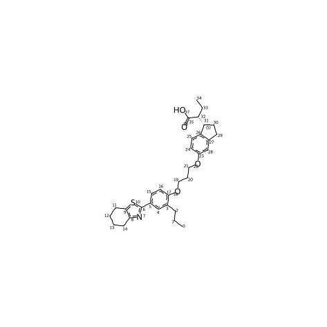 CCCc1cc(-c2nc3c(s2)CCCC3)ccc1OCCCOc1ccc2c(c1)CC[C@H]2C(CC)C(=O)O